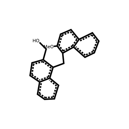 COc1ccc2ccccc2c1Cc1c(CO)ccc2ccccc12